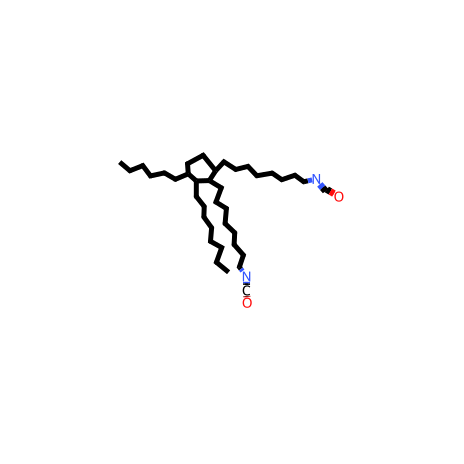 CCCCCCCCC1C(CCCCCC)CCC(CCCCCCCCN=C=O)C1CCCCCCCCN=C=O